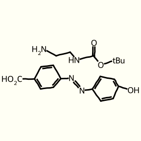 CC(C)(C)OC(=O)NCCN.O=C(O)c1ccc(N=Nc2ccc(O)cc2)cc1